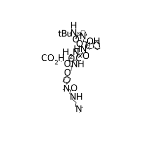 CC(=O)O.CN(C)CCCNCC(=O)N(C)c1ccc(OCC(=O)NC(=O)C[C@H](N)C(=O)N[C@@H](Cc2ccccc2)[C@H](O)C(=O)N2CCC[C@H]2C(=O)NC(C)(C)C)cc1